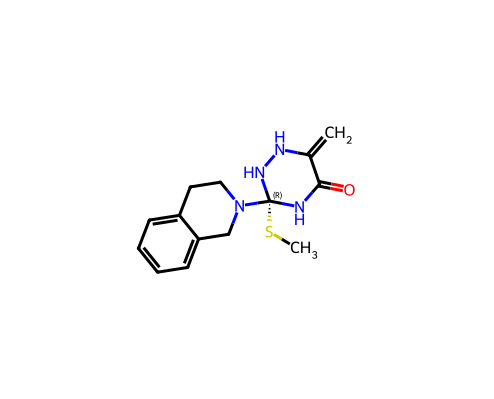 C=C1NN[C@](SC)(N2CCc3ccccc3C2)NC1=O